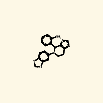 Nc1ccccc1C1c2scnc2CCN1c1ccc2c(c1)OCO2